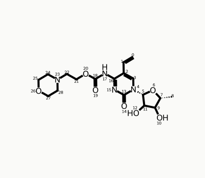 C=Cc1cn([C@@H]2O[C@H](C)C(O)C2O)c(=O)nc1NC(=O)OCCN1CCOCC1